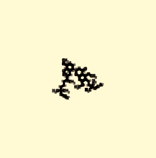 COc1cc2c(c(OC)c1CCC(C)(C)N=[N+]=[N-])C(=O)C[C@@H](c1ccc(OC)c(OC)c1C/C=C(\C)CCCC(C)(C)N=[N+]=[N-])O2